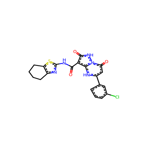 O=C(Nc1nc2c(s1)CCCC2)c1c(=O)[nH]n2c(=O)cc(-c3cccc(Cl)c3)[nH]c12